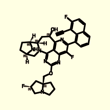 C#Cc1c(F)ccc2cccc(-c3nc4c5c(nc(OC[C@@]67CCCN6C[C@H](F)C7)nc5c3F)N3C[C@H]5CC[C@H](N5)[C@H]3C[C@H]4O)c12